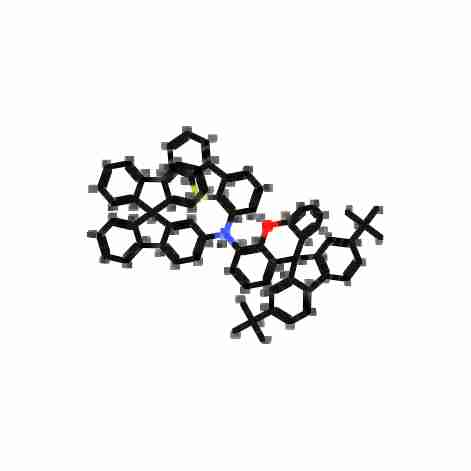 CC(C)(C)c1ccc2c(c1)C1(c3ccccc3Oc3c(N(c4ccc5c(c4)C4(c6ccccc6-c6ccccc64)c4ccccc4-5)c4cccc5c4sc4ccccc45)cccc31)c1cc(C(C)(C)C)ccc1-2